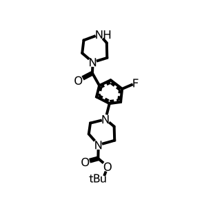 CC(C)(C)OC(=O)N1CCN(c2cc(F)cc(C(=O)N3CCNCC3)c2)CC1